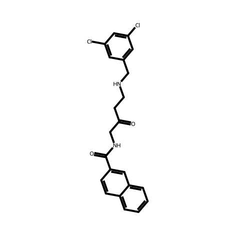 O=C(CCNCc1cc(Cl)cc(Cl)c1)CNC(=O)c1ccc2ccccc2c1